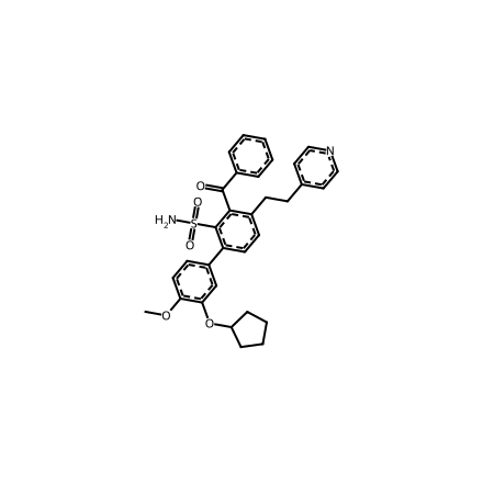 COc1ccc(-c2ccc(CCc3ccncc3)c(C(=O)c3ccccc3)c2S(N)(=O)=O)cc1OC1CCCC1